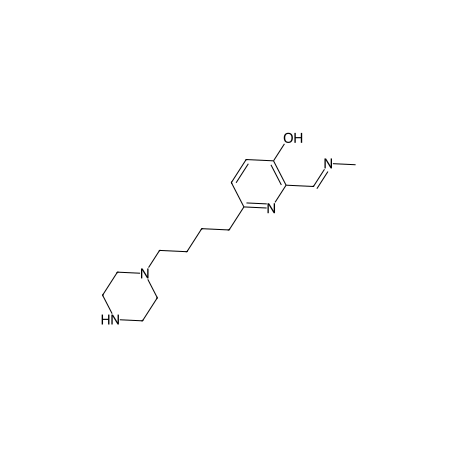 C/N=C/c1nc(CCCCN2CCNCC2)ccc1O